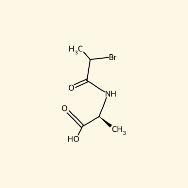 CC(Br)C(=O)N[C@@H](C)C(=O)O